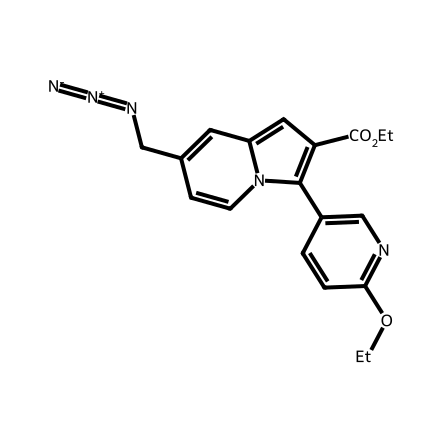 CCOC(=O)c1cc2cc(CN=[N+]=[N-])ccn2c1-c1ccc(OCC)nc1